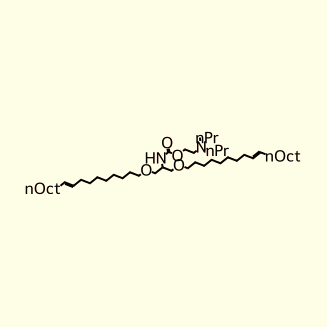 CCCCCCCCC=CCCCCCCCCOCC(COCCCCCCCCC=CCCCCCCCC)NC(=O)OCCN(CCC)CCC